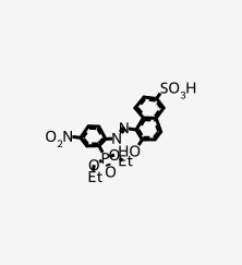 CCOP(=O)(OCC)c1cc([N+](=O)[O-])ccc1N=Nc1c(O)ccc2cc(S(=O)(=O)O)ccc12